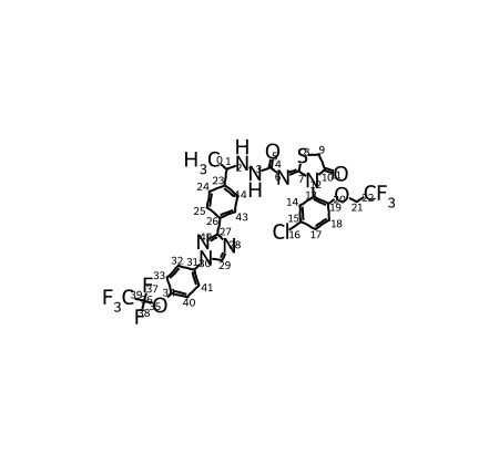 CC(NNC(=O)/N=C1\SCC(=O)N1c1cc(Cl)ccc1OCC(F)(F)F)c1ccc(-c2ncn(-c3ccc(OC(F)(F)C(F)(F)F)cc3)n2)cc1